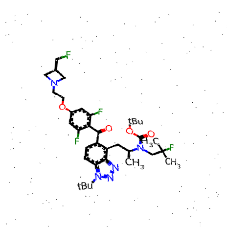 CC(Cc1c(C(=O)c2c(F)cc(OCCN3CC(CF)C3)cc2F)ccc2c1nnn2C(C)(C)C)N(CC(C)(C)F)C(=O)OC(C)(C)C